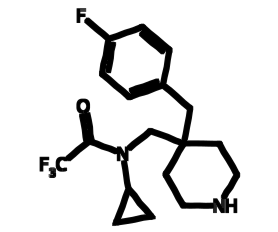 O=C(N(CC1(Cc2ccc(F)cc2)CCNCC1)C1CC1)C(F)(F)F